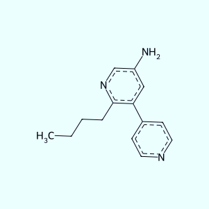 CCCCc1ncc(N)cc1-c1ccncc1